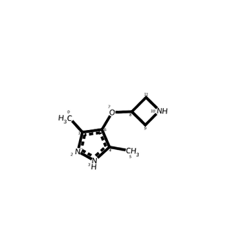 Cc1n[nH]c(C)c1OC1CNC1